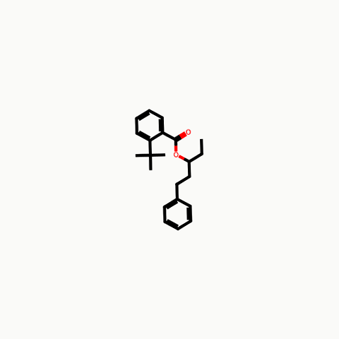 CCC(CCc1ccccc1)OC(=O)c1ccccc1C(C)(C)C